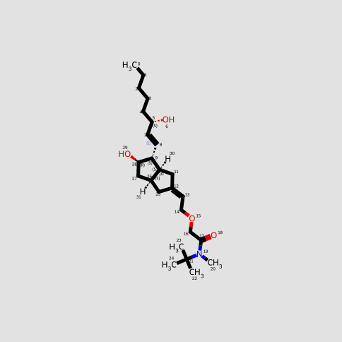 CCCCC[C@H](O)/C=C/[C@@H]1[C@H]2CC(=CCOCC(=O)N(C)C(C)(C)C)C[C@H]2C[C@H]1O